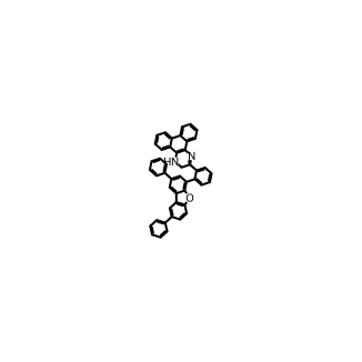 c1ccc(-c2ccc3oc4c(-c5ccccc5C5=Nc6c(c7ccccc7c7ccccc67)NC5)cc(-c5ccccc5)cc4c3c2)cc1